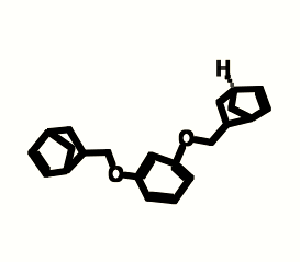 C1=CC2CC1CC2COc1cccc(OCC2C[C@H]3C=CC2C3)c1